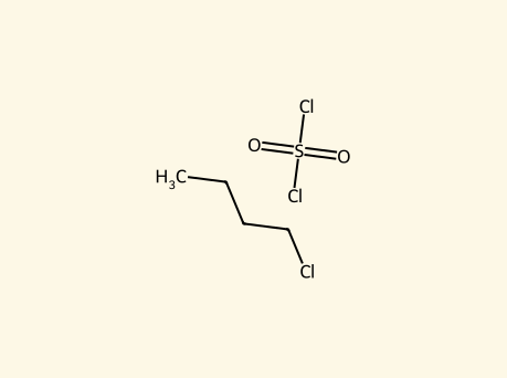 CCCCCl.O=S(=O)(Cl)Cl